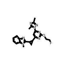 Cc1nc(C)n(-c2cc(C3CC3c3nc4ccccc4n3C)nc(OCCF)n2)n1